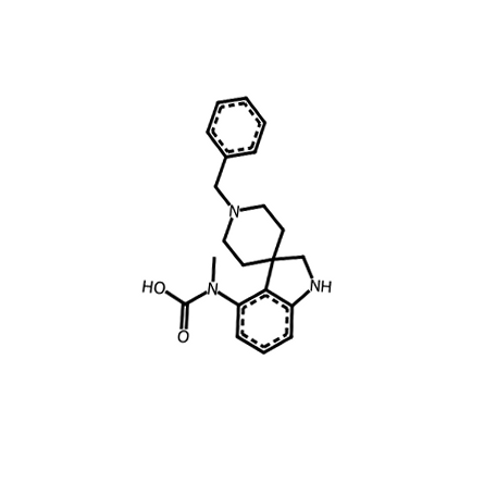 CN(C(=O)O)c1cccc2c1C1(CCN(Cc3ccccc3)CC1)CN2